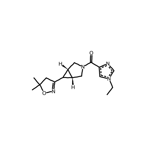 CCn1cnc(C(=O)N2C[C@@H]3C(C4=NOC(C)(C)C4)[C@@H]3C2)c1